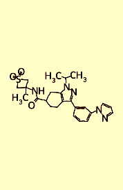 CC(C)n1nc(-c2cccc(-n3cccn3)c2)c2c1CC(C(=O)NC1(C)CS(=O)(=O)C1)CC2